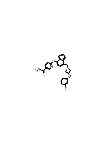 NC(=O)c1ccc(Oc2ccc(CN3CC(Oc4cccc(F)c4)C3)c3ccccc23)nc1